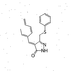 C=C\C=C/C(=C\C)/C=C1/C(=O)NN=C1CSc1ccccc1